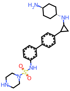 N[C@H]1CC[C@H](NC2CC2c2ccc(-c3cccc(NS(=O)(=O)N4CCNCC4)c3)cc2)CC1